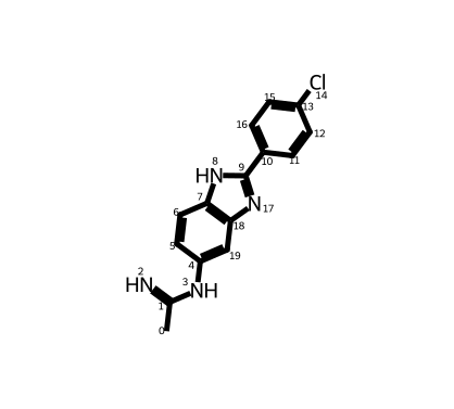 CC(=N)Nc1ccc2[nH]c(-c3ccc(Cl)cc3)nc2c1